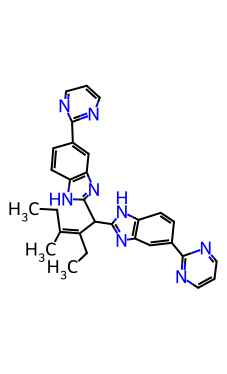 CCC(C)=C(CC)C(c1nc2cc(-c3ncccn3)ccc2[nH]1)c1nc2cc(-c3ncccn3)ccc2[nH]1